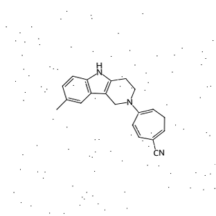 Cc1ccc2[nH]c3c(c2c1)CN(C1=CCC=C(C#N)C=C1)CC3